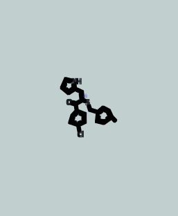 Cc1ccc(CS/C(=C/c2ccc[nH]2)C(=O)c2ccc(Cl)cc2)cc1